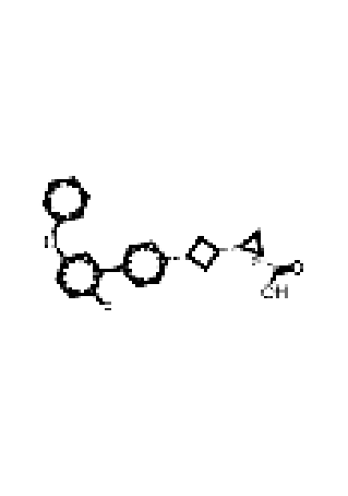 O=C(O)[C@H]1CC1[C@H]1C[C@@H](c2ccc(-c3cc(Oc4ccccc4)ccc3F)cc2)C1